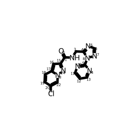 O=C(NCc1ncnn1-c1ncccn1)c1cc2ccc(Cl)cn2n1